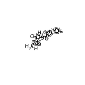 CC(=O)NS(=O)(=O)Cc1cc(Cl)ccc1OCC(=O)N1CCN(Cc2ccc(F)cc2)C[C@H]1C